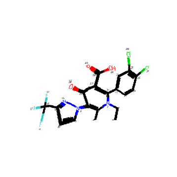 CCn1c(C)c(-n2ccc(C(F)(F)F)n2)c(=O)c(C(=O)O)c1-c1ccc(Cl)c(Cl)c1